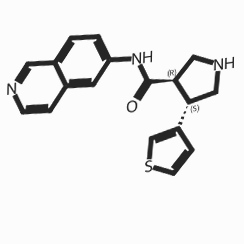 O=C(Nc1ccc2cnccc2c1)[C@H]1CNC[C@@H]1c1ccsc1